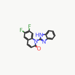 O=c1ccc2cc(F)c(F)cc2n1-c1nc2ccccc2[nH]1